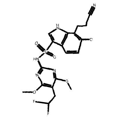 COc1nc(NS(=O)(=O)c2c[nH]c3c(CCC#N)c(Cl)ccc23)nc(OC)c1CC(F)F